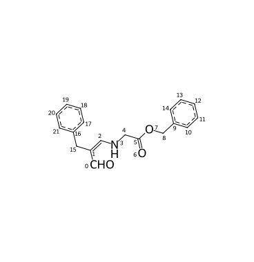 O=C/C(=C\NCC(=O)OCc1ccccc1)Cc1ccccc1